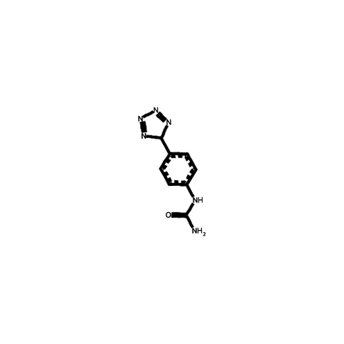 NC(=O)Nc1ccc(C2N=NN=N2)cc1